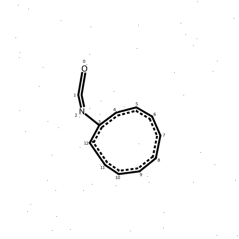 O=C=Nc1ccccccccc1